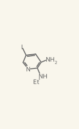 CCNc1ncc(I)cc1N